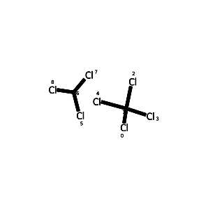 ClC(Cl)(Cl)Cl.Cl[C](Cl)Cl